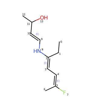 CC/C(=C\C=C(/C)F)N/C=C/C(C)O